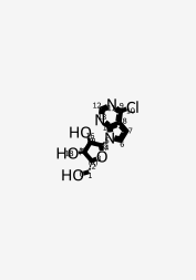 OC[C@H]1O[C@@H](n2ccc3c(Cl)ncnc32)[C@H](O)[C@@H]1O